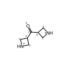 O=C(C1CNC1)C1CNC1